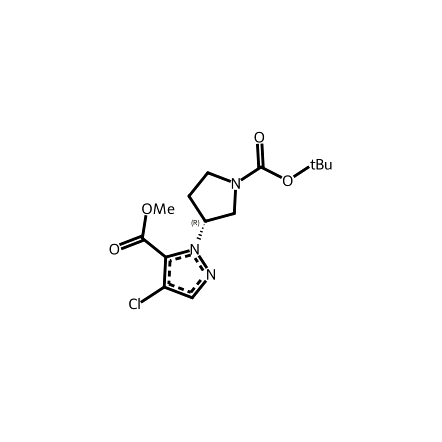 COC(=O)c1c(Cl)cnn1[C@@H]1CCN(C(=O)OC(C)(C)C)C1